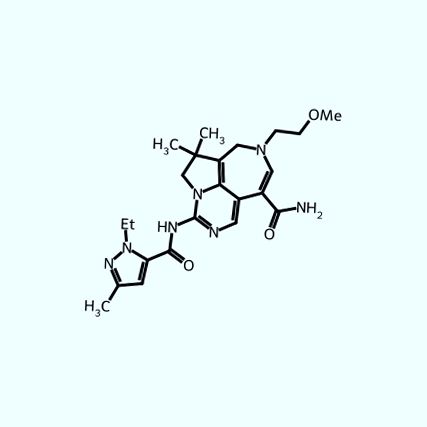 CCn1nc(C)cc1C(=O)NC1=NC=C2C(C(N)=O)=CN(CCOC)CC3=C2N1CC3(C)C